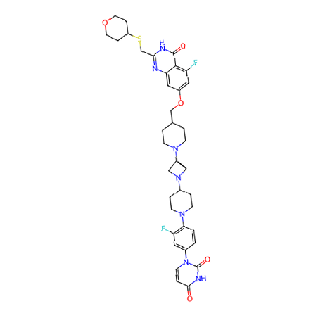 O=c1ccn(-c2ccc(N3CCC(N4CC(N5CCC(COc6cc(F)c7c(=O)[nH]c(CSC8CCOCC8)nc7c6)CC5)C4)CC3)c(F)c2)c(=O)[nH]1